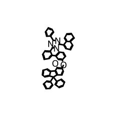 c1ccc(-c2nc(-c3ccccc3-c3cccc4c3Oc3c(ccc5c3-c3ccccc3C5(c3ccccc3)c3ccccc3)O4)nc(-c3cccc4ccccc34)n2)cc1